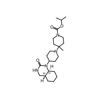 CC(C)OC(=O)N1CCC(C)(N2CCC(N3C(=O)NC[C@H]4CCCC[C@@H]43)CC2)CC1